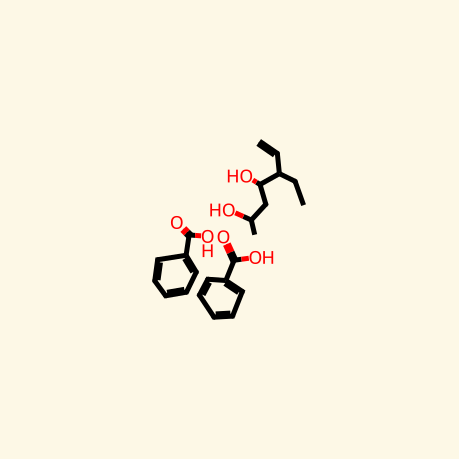 C=CC(CC)C(O)CC(C)O.O=C(O)c1ccccc1.O=C(O)c1ccccc1